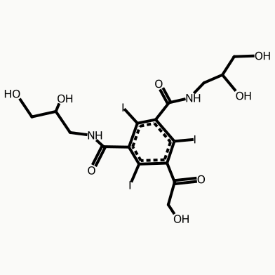 O=C(CO)c1c(I)c(C(=O)NCC(O)CO)c(I)c(C(=O)NCC(O)CO)c1I